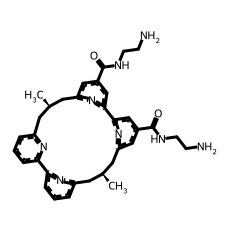 C[C@@H]1Cc2cccc(n2)-c2cccc(n2)C[C@H](C)Cc2cc(C(=O)NCCN)cc(n2)-c2cc(C(=O)NCCN)cc(n2)C1